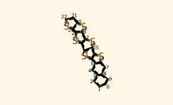 c1ccc2cc3c(cc2c1)sc1c3sc2c1sc1c3sc4ccsc4c3sc12